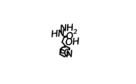 NNC(=O)CC1(O)CN2CCC1CC2